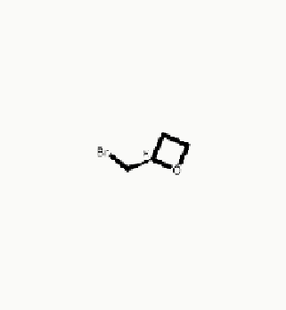 BrC[C@H]1CCO1